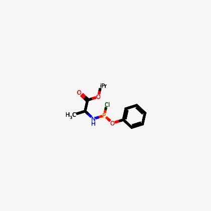 CC(C)OC(=O)C(C)NP(Cl)Oc1ccccc1